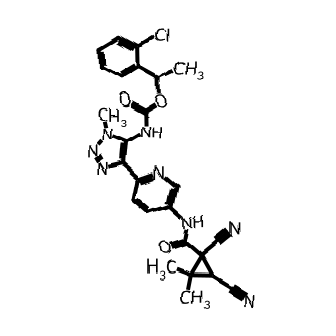 C[C@@H](OC(=O)Nc1c(-c2ccc(NC(=O)C3(C#N)C(C#N)C3(C)C)cn2)nnn1C)c1ccccc1Cl